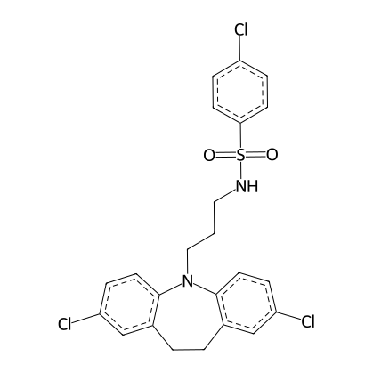 O=S(=O)(NCCCN1c2ccc(Cl)cc2CCc2cc(Cl)ccc21)c1ccc(Cl)cc1